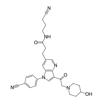 N#CCCCNC(=O)CCc1cnc2c(C(=O)CN3CCC(O)CC3)cn(-c3ccc(C#N)cc3)c2c1